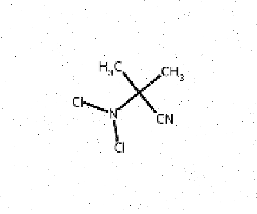 CC(C)(C#N)N(Cl)Cl